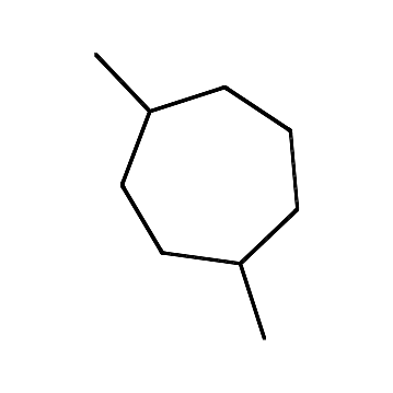 CC1CCCC(C)CC1